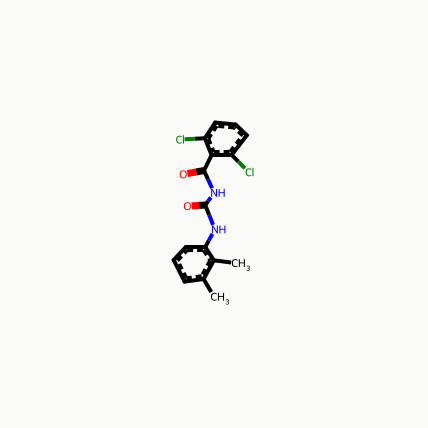 Cc1cccc(NC(=O)NC(=O)c2c(Cl)cccc2Cl)c1C